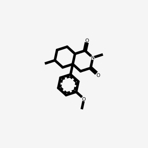 COc1cccc(C23CC(=O)N(C)C(=O)C2CCC(C)C3)c1